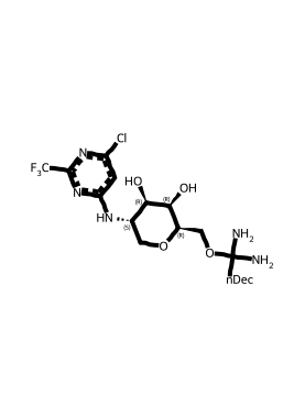 CCCCCCCCCCC(N)(N)OC[C@H]1OC[C@H](Nc2cc(Cl)nc(C(F)(F)F)n2)[C@@H](O)[C@H]1O